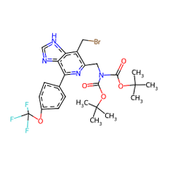 CC(C)(C)OC(=O)N(Cc1nc(-c2ccc(OC(F)(F)F)cc2)c2nc[nH]c2c1CBr)C(=O)OC(C)(C)C